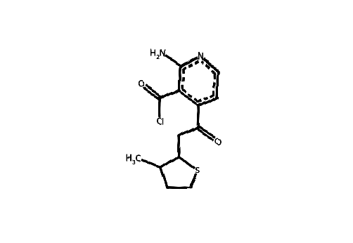 CC1CCSC1CC(=O)c1ccnc(N)c1C(=O)Cl